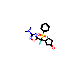 CN(C)c1noc(C(F)(C2CCC(=O)C2)S(=O)(=O)c2ccccc2)n1